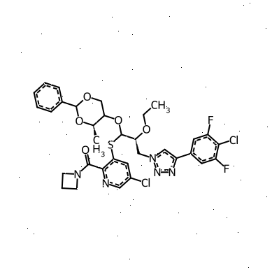 CCO[C@@H](Cn1cc(-c2cc(F)c(Cl)c(F)c2)nn1)C(OC1COC(c2ccccc2)O[C@@H]1C)Sc1cc(Cl)cnc1C(=O)N1CCC1